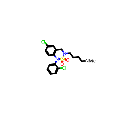 CNCCCCN1Cc2cc(Cl)ccc2N(c2ccccc2Cl)S1(=O)=O